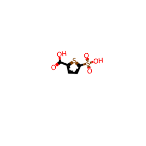 O=C(O)c1ccc(S(=O)(=O)O)s1